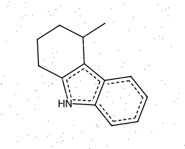 CC1CCCc2[nH]c3ccccc3c21